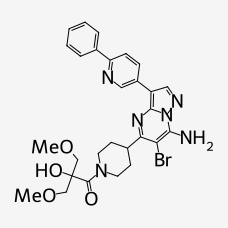 COCC(O)(COC)C(=O)N1CCC(c2nc3c(-c4ccc(-c5ccccc5)nc4)cnn3c(N)c2Br)CC1